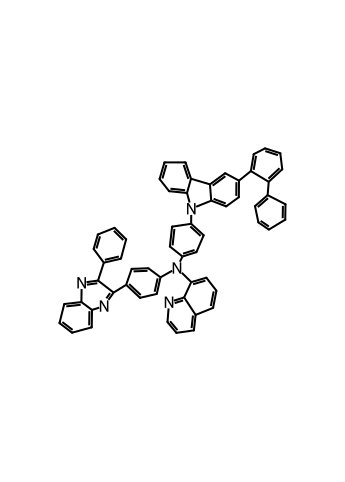 c1ccc(-c2ccccc2-c2ccc3c(c2)c2ccccc2n3-c2ccc(N(c3ccc(-c4nc5ccccc5nc4-c4ccccc4)cc3)c3cccc4cccnc34)cc2)cc1